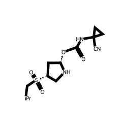 CC(C)CS(=O)(=O)[C@H]1CN[C@@H](OC(=O)NC2(C#N)CC2)C1